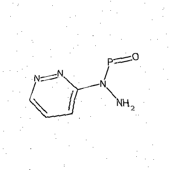 NN(P=O)c1cccnn1